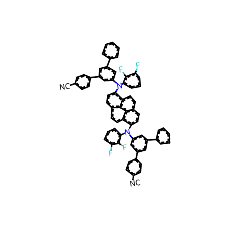 [C-]#[N+]c1ccc(-c2cc(-c3ccccc3)cc(N(c3cccc(F)c3F)c3ccc4ccc5c(N(c6cc(-c7ccccc7)cc(-c7ccc(C#N)cc7)c6)c6cccc(F)c6F)ccc6ccc3c4c65)c2)cc1